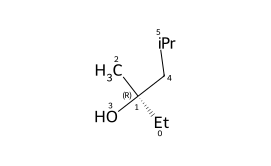 CC[C@@](C)(O)CC(C)C